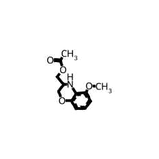 COc1cccc2c1NC(COC(C)=O)CO2